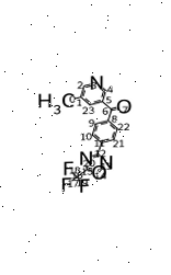 Cc1cncc(C(=O)c2ccc(-c3noc(C(F)(F)F)n3)cc2)c1